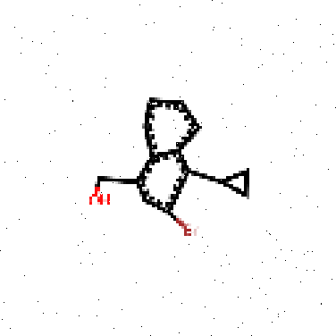 OCc1cc(Br)c(C2CC2)c2ccccc12